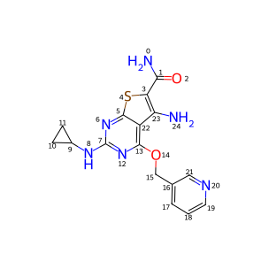 NC(=O)c1sc2nc(NC3CC3)nc(OCc3cccnc3)c2c1N